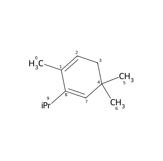 CC1=CCC(C)(C)C=C1C(C)C